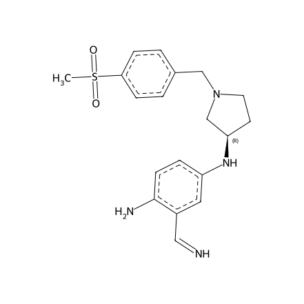 CS(=O)(=O)c1ccc(CN2CC[C@@H](Nc3ccc(N)c(C=N)c3)C2)cc1